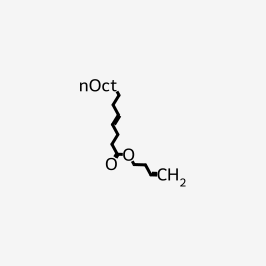 C=CCCOC(=O)CCC=CCCCCCCCCCC